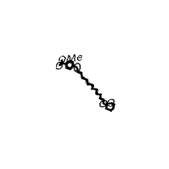 COC(=O)c1ccc(OCCCCCCCCCCCCOC2CCCCO2)cc1